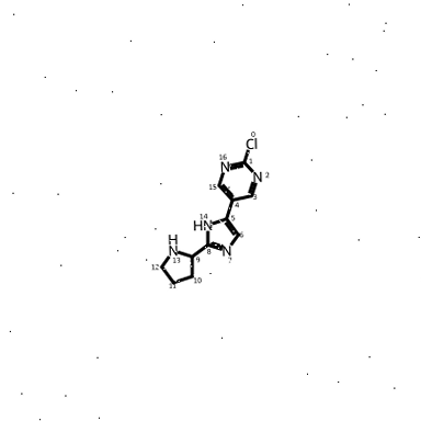 Clc1ncc(-c2cnc(C3CCCN3)[nH]2)cn1